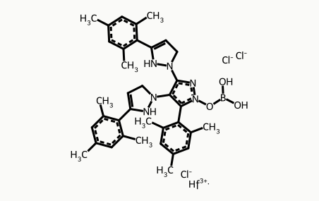 Cc1cc(C)c(C2=CCN(c3nn(OB(O)O)c(-c4c(C)cc(C)cc4C)c3N3CC=C(c4c(C)cc(C)cc4C)N3)N2)c(C)c1.[Cl-].[Cl-].[Cl-].[Hf+3]